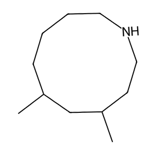 CC1CCCCNCCC(C)C1